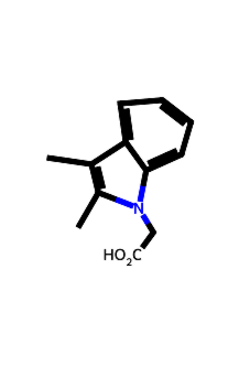 Cc1c(C)n(CC(=O)O)c2ccccc12